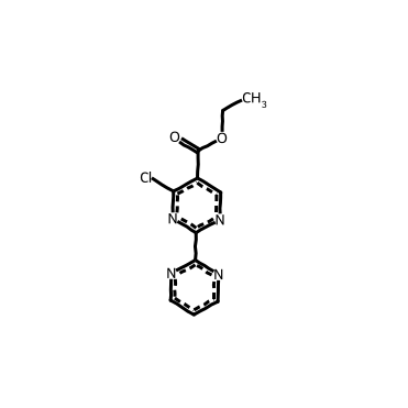 CCOC(=O)c1cnc(-c2ncccn2)nc1Cl